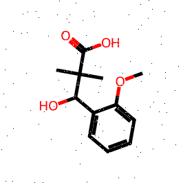 COc1ccccc1C(O)C(C)(C)C(=O)O